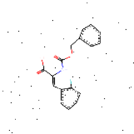 O=C(NC(=Cc1ccccc1F)C(=O)O)OCc1ccccc1